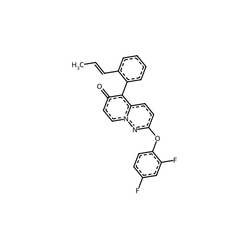 CC=Cc1ccccc1-c1c(=O)ccn2nc(Oc3ccc(F)cc3F)ccc12